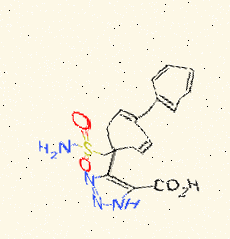 NS(=O)(=O)C1(c2nn[nH]c2C(=O)O)C=CC(c2ccccc2)=CC1